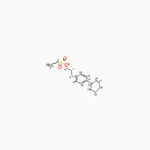 C=CS(=O)(=O)OCCCc1ccc(C2CCCCC2)cc1